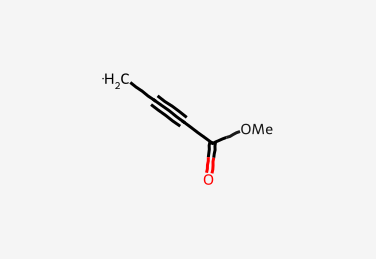 [CH2]C#CC(=O)OC